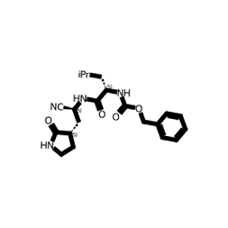 CC(C)C[C@H](NC(=O)OCc1ccccc1)C(=O)N[C@H](C#N)C[C@@H]1CCNC1=O